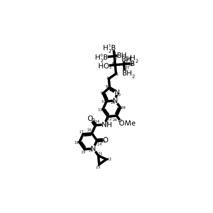 BC(B)(B)C(O)(CCc1cc2cc(NC(=O)c3cccn(C4CC4)c3=O)c(OC)cn2n1)C(B)(B)B